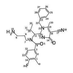 Cc1cc(C(=O)N(CCCN)C(c2nc(=O)c(C#N)c(C)n2Cc2ccccc2)C(C)C)ccc1F